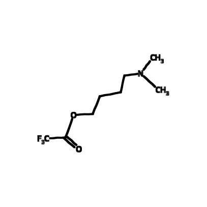 CN(C)CCCCOC(=O)C(F)(F)F